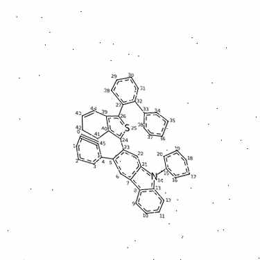 c1cccc(-c2cc3c4ccccc4n(-c4ccccc4)c3cc2-c2sc(-c3ccccc3-c3ccccc3)c3c2CCC=C3)c#1